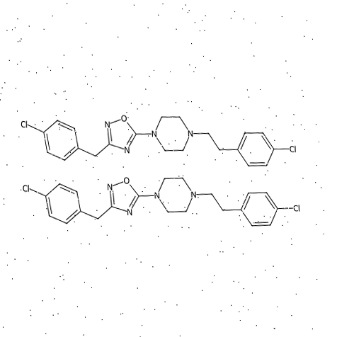 Clc1ccc(CCN2CCN(c3nc(Cc4ccc(Cl)cc4)no3)CC2)cc1.Clc1ccc(CCN2CCN(c3nc(Cc4ccc(Cl)cc4)no3)CC2)cc1